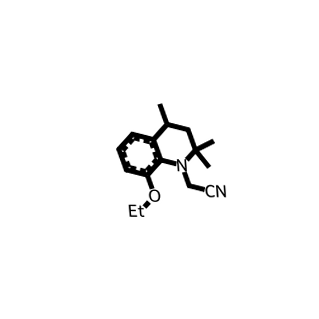 CCOc1cccc2c1N(CC#N)C(C)(C)CC2C